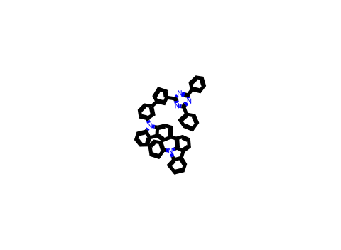 c1ccc(-c2nc(-c3ccccc3)nc(-c3cccc(-c4cccc(-n5c6ccccc6c6cc(-c7cccc8c9ccccc9n(-c9ccccc9)c78)ccc65)c4)c3)n2)cc1